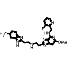 COc1cc2sc(CCNCCc3nc4ccc(C)cc4[nH]3)nc2c(NCc2ncccc2F)n1